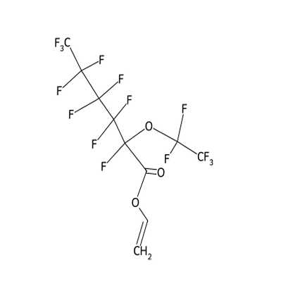 C=COC(=O)C(F)(OC(F)(F)C(F)(F)F)C(F)(F)C(F)(F)C(F)(F)C(F)(F)F